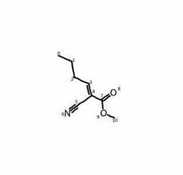 CCC/C=C(\C#N)C(=O)OC